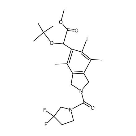 COC(=O)C(OC(C)(C)C)c1c(C)c2c(c(C)c1I)CN(C(=O)N1CCC(F)(F)C1)C2